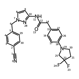 N#Cc1ccc(Cn2ccc(NC(=O)Cc3ccc(N4CCC(F)(F)C4)cc3)n2)cc1